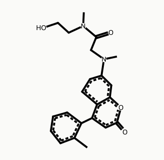 Cc1ccccc1-c1cc(=O)oc2cc(N(C)CC(=O)N(C)CCO)ccc12